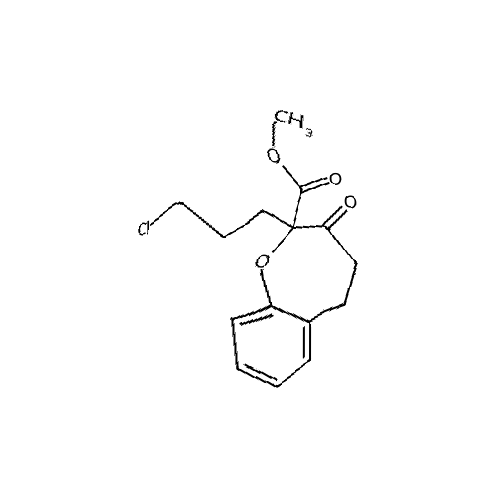 COC(=O)C1(CCCCl)Oc2ccccc2CCC1=O